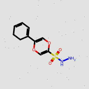 NNS(=O)(=O)C1=COC(C2=CC=CCC2)=CO1